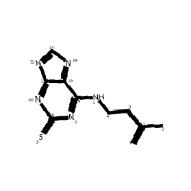 C=C(C)CCNC1=NC(=S)N=C2N=CN=C21